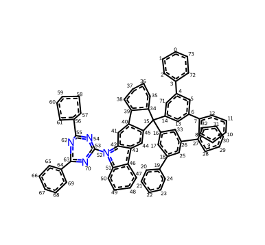 c1ccc(-c2cc(-c3ccccc3)cc(C3(c4cc(-c5ccccc5)cc(-c5ccccc5)c4)c4ccccc4-c4cc5c(cc43)c3ccccc3n5-c3nc(-c4ccccc4)nc(-c4ccccc4)n3)c2)cc1